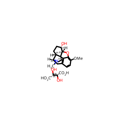 COc1ccc2c3c1O[C@H]1[C@@H](O)CC[C@H]4[C@@H](C2)N(C)CC[C@@]341.O=C(O)[C@H](O)[C@@H](O)C(=O)O